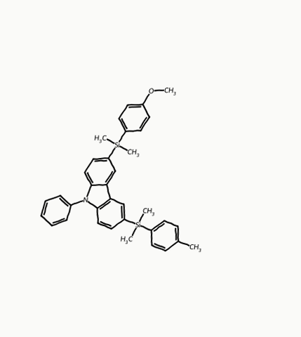 COc1ccc([Si](C)(C)c2ccc3c(c2)c2cc([Si](C)(C)c4ccc(C)cc4)ccc2n3-c2ccccc2)cc1